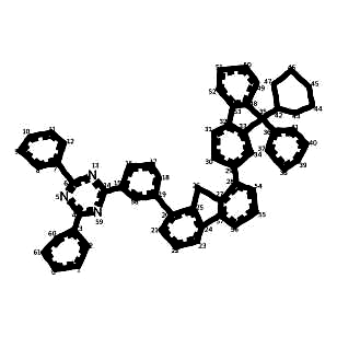 c1ccc(-c2nc(-c3ccccc3)nc(-c3cccc(-c4cccc5c4Cc4c(-c6ccc7c(c6)C(c6ccccc6)(C6CCCCC6)c6ccccc6-7)cccc4-5)c3)n2)cc1